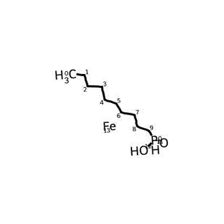 CCCCCCCCCC[PH](=O)O.[Fe]